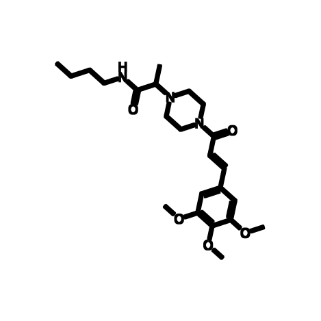 CCCCNC(=O)C(C)N1CCN(C(=O)C=Cc2cc(OC)c(OC)c(OC)c2)CC1